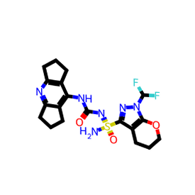 NS(=O)(=NC(=O)Nc1c2c(nc3c1CCC3)CCC2)c1nn(C(F)F)c2c1CCCO2